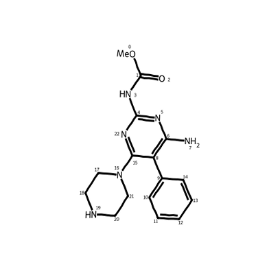 COC(=O)Nc1nc(N)c(-c2ccccc2)c(N2CCNCC2)n1